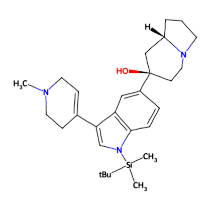 CN1CC=C(c2cn([Si](C)(C)C(C)(C)C)c3ccc([C@@]4(O)CCN5CCC[C@H]5C4)cc23)CC1